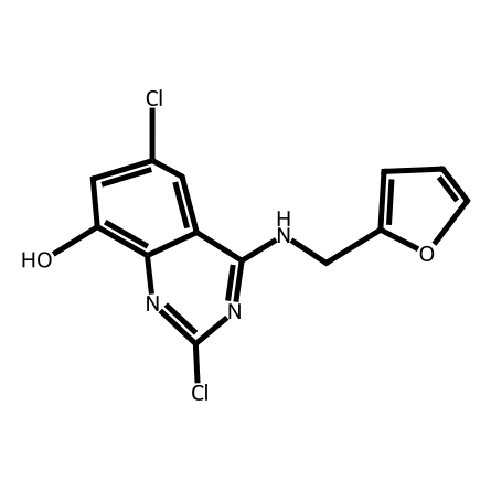 Oc1cc(Cl)cc2c(NCc3ccco3)nc(Cl)nc12